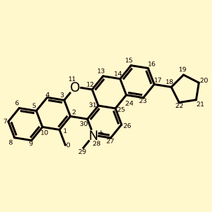 Cc1c2c(cc3ccccc13)Oc1cc3ccc(C4CCCC4)cc3c3cc[n+](C)c-2c13